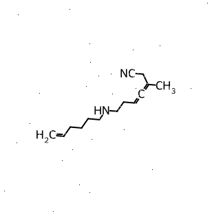 C=CCCCCNCCC=C=C(C)CC#N